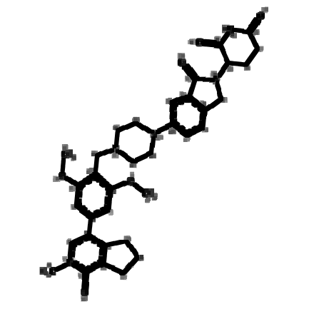 COc1cc(-c2cn(C)c(=O)c3c2CCC3)cc(OC)c1CN1CCN(c2ccc3c(c2)C(=O)N(C2CCC(=O)NC2=O)C3)CC1